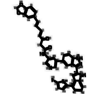 O=C(C=CC=Cc1ccc2c(c1)OCO2)CC(=O)Nc1cncc(-c2ccc3[nH]nc(-c4cc5c(-c6ccc(F)s6)cccc5[nH]4)c3c2)c1